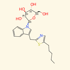 CCCCCc1cnc(Cc2cn([C@@H]3O[C@H](CO)[C@@H](O)[C@H](O)[C@H]3O)c3ccccc23)s1